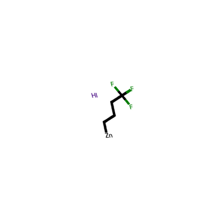 FC(F)(F)CC[CH2][Zn].I